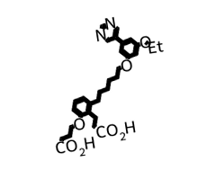 CCOc1cc(OCCCCCCc2cccc(OCCCC(=O)O)c2CCC(=O)O)cc(-c2cncnc2)c1